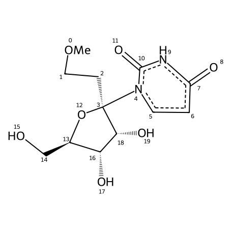 COCC[C@@]1(n2ccc(=O)[nH]c2=O)O[C@H](CO)[C@@H](O)[C@H]1O